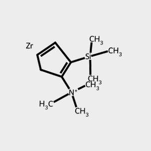 C[N+](C)(C)C1=C([Si](C)(C)C)C=CC1.[Zr]